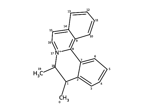 CC1c2ccccc2-c2c3ccccc3cc[n+]2C1C